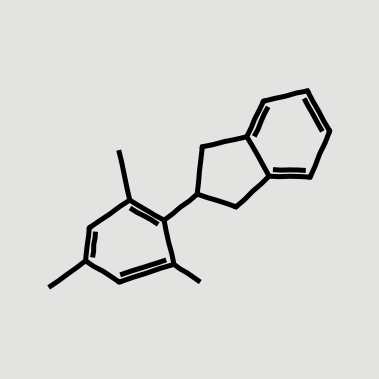 Cc1cc(C)c(C2Cc3ccccc3C2)c(C)c1